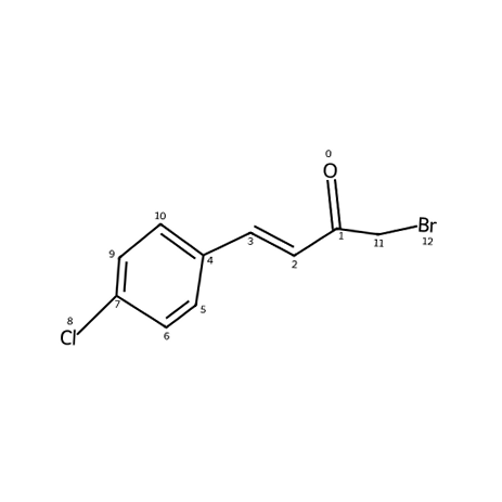 O=C(C=Cc1ccc(Cl)cc1)CBr